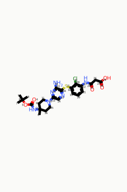 CC1(NC(=O)OC(C)(C)C)CCN(c2cnc(Sc3cccc(NC(=O)CC(=O)O)c3Cl)c(N)n2)CC1